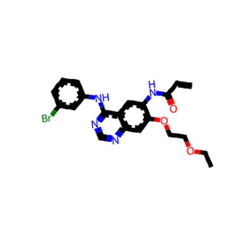 C=CC(=O)Nc1cc2c(Nc3cccc(Br)c3)ncnc2cc1OCCOCC